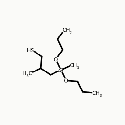 CCCO[Si](C)(CC(C)CS)OCCC